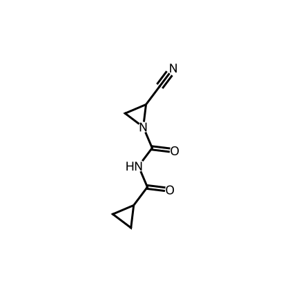 N#CC1CN1C(=O)NC(=O)C1CC1